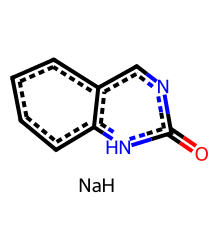 O=c1ncc2ccccc2[nH]1.[NaH]